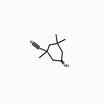 CC1(C)CC(=N)CC(C)(C#N)C1